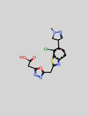 CN1CC(c2ccc3nc(Cc4nnc(CC(=O)O)o4)sc3c2Cl)C=N1